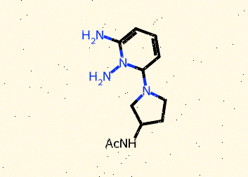 CC(=O)NC1CCN(C2C=CC=C(N)N2N)C1